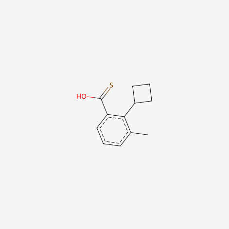 Cc1cccc(C(O)=S)c1C1CCC1